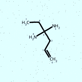 C=CCC(N)(N)CC